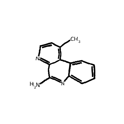 Cc1ccnc2c(N)nc3ccccc3c12